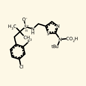 CC(C)(C)N(C(=O)O)c1ncc(CN[S@+]([O-])C(C)(C)Cc2ccc(Cl)cc2F)s1